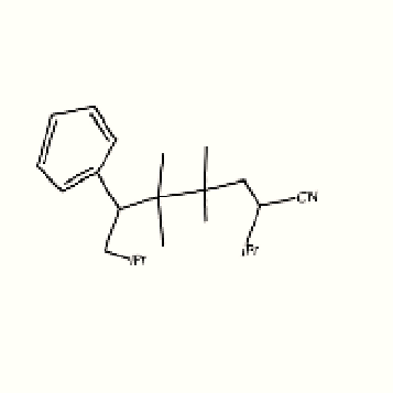 CC(C)CC(c1ccccc1)C(C)(C)C(C)(C)CC(C#N)C(C)C